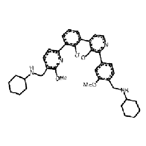 COc1cc(-c2nccc(-c3cccc(-c4ccc(CNC5CCCCC5)c(OC)n4)c3Cl)c2Cl)ccc1CNC1CCCCC1